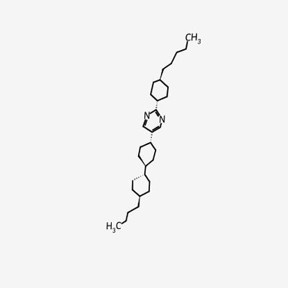 CCCCC[C@H]1CC[C@H](c2ncc([C@H]3CC[C@H]([C@H]4CC[C@H](CCCC)CC4)CC3)cn2)CC1